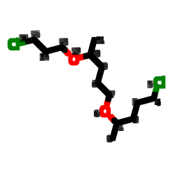 CC(CCCCl)OCCCC(C)OCCCCl